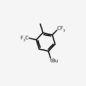 Cc1c(C(F)(F)F)cc(C(C)(C)C)cc1C(F)(F)F